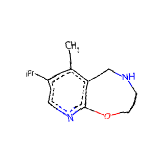 Cc1c(C(C)C)cnc2c1CNCCO2